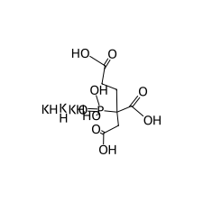 O=C(O)CCC(CC(=O)O)(C(=O)O)P(=O)(O)O.[KH].[KH].[KH]